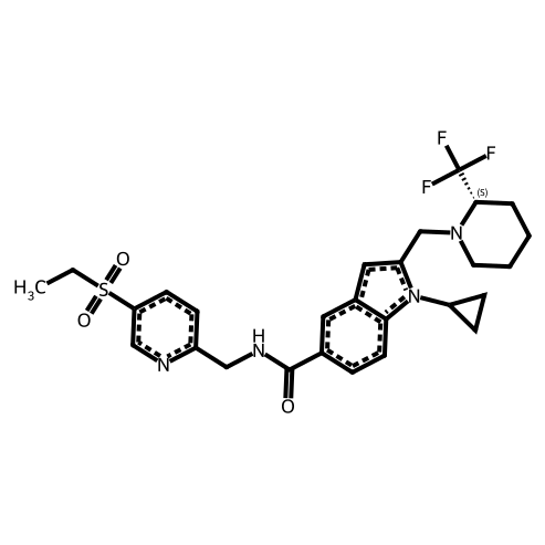 CCS(=O)(=O)c1ccc(CNC(=O)c2ccc3c(c2)cc(CN2CCCC[C@H]2C(F)(F)F)n3C2CC2)nc1